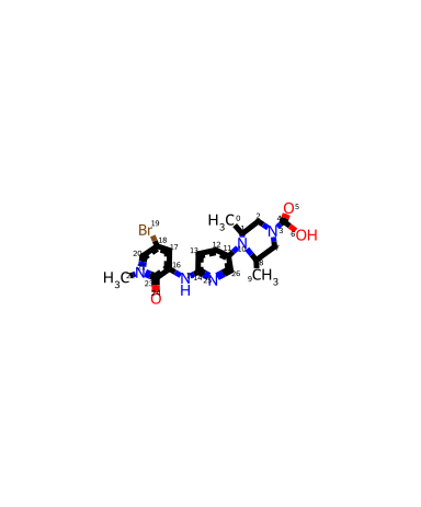 CC1CN(C(=O)O)CC(C)N1c1ccc(Nc2cc(Br)cn(C)c2=O)nc1